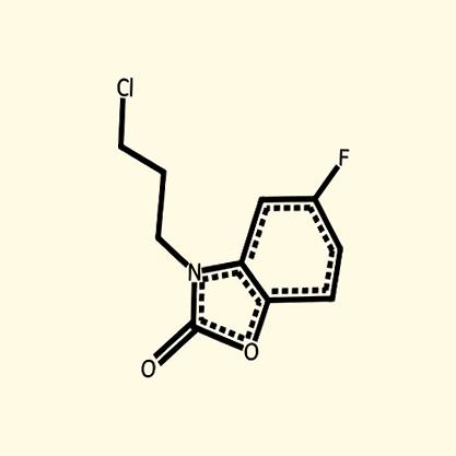 O=c1oc2ccc(F)cc2n1CCCCl